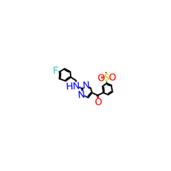 CS(=O)(=O)c1cccc(C(=O)c2cnc(NCc3ccc(F)cc3)nc2)c1